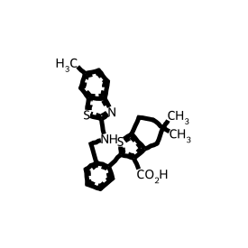 Cc1ccc2nc(NCc3ccccc3-c3sc4c(c3C(=O)O)CC(C)(C)CC4)sc2c1